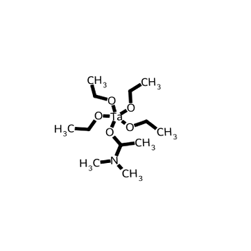 CC[O][Ta]([O]CC)([O]CC)([O]CC)[O]C(C)N(C)C